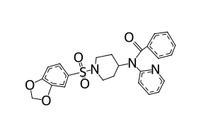 O=C(c1ccccc1)N(c1ccccn1)C1CCN(S(=O)(=O)c2ccc3c(c2)OCO3)CC1